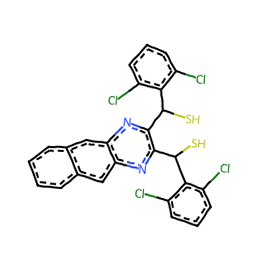 SC(c1nc2cc3ccccc3cc2nc1C(S)c1c(Cl)cccc1Cl)c1c(Cl)cccc1Cl